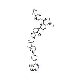 CN/C=N\C(=N)c1ccc(N2CCN(C(=O)CN3CC[C@]4(CCN(c5ccc(N)c(C(=N)c6ccc(OC(C)C)nc6)n5)C4=O)C3)[C@H](C)C2)cc1